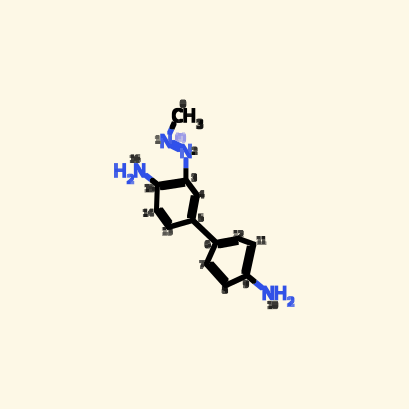 C/N=N/c1cc(-c2ccc(N)cc2)ccc1N